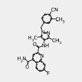 Cc1cc(Cn2nc(C)c(NC(=O)c3cc(C(N)=O)c4ccc(F)cc4n3)c2C)ccc1C#N